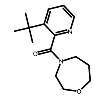 CC(C)(C)c1cccnc1C(=O)N1CCCOCC1